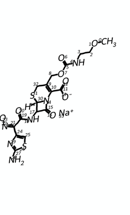 COCCNC(=O)OCC1=C(C(=O)[O-])N2C(=O)C(NC(=O)/C(=N\O)c3csc(N)n3)[C@@H]2SC1.[Na+]